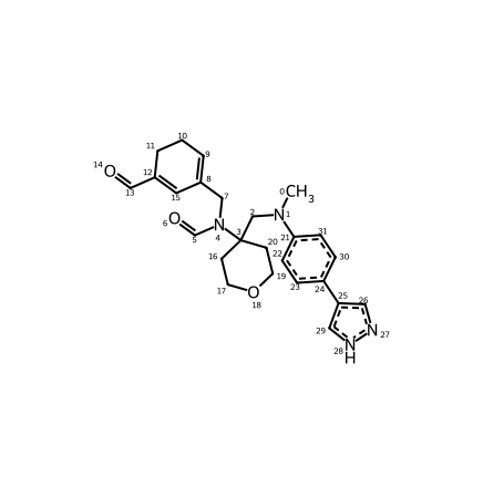 CN(CC1(N(C=O)CC2=CCCC(C=O)=C2)CCOCC1)c1ccc(-c2cn[nH]c2)cc1